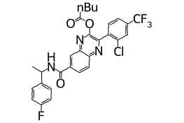 CCCCC(=O)Oc1nc2cc(C(=O)NC(C)c3ccc(F)cc3)ccc2nc1-c1ccc(C(F)(F)F)cc1Cl